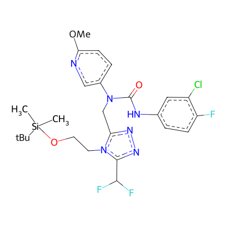 COc1ccc(N(Cc2nnc(C(F)F)n2CCO[Si](C)(C)C(C)(C)C)C(=O)Nc2ccc(F)c(Cl)c2)cn1